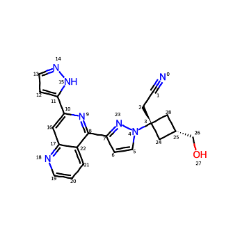 N#CC[C@]1(n2ccc(-c3nc(-c4ccn[nH]4)cc4ncccc34)n2)C[C@@H](CO)C1